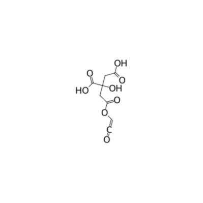 O=C=COC(=O)CC(O)(CC(=O)O)C(=O)O